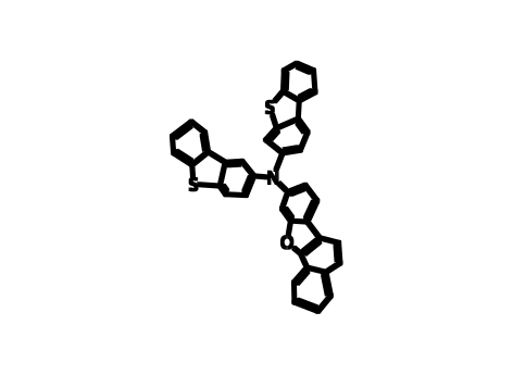 c1ccc2c(c1)ccc1c3ccc(N(c4ccc5c(c4)sc4ccccc45)c4ccc5sc6ccccc6c5c4)cc3oc21